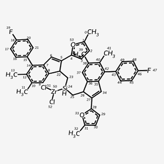 Cc1ccc(C2=Cc3c(cc(C)c(C)c3-c3ccc(F)cc3)C2C[SiH](CC2C(c3ccc(C)o3)=Cc3c2cc(C)c(C)c3-c2ccc(F)cc2)[Zr]([Cl])[Cl])o1